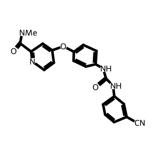 CNC(=O)c1cc(Oc2ccc(NC(=O)Nc3cccc(C#N)c3)cc2)ccn1